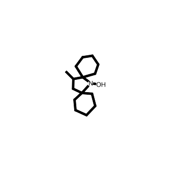 CC1CC2(CCCCC2)N(O)C12CCCCC2